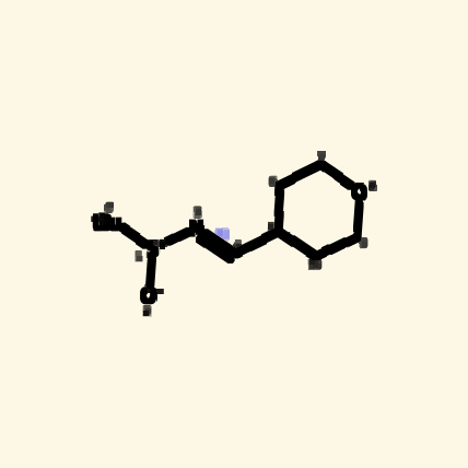 CC(C)(C)[S+]([O-])/N=C/C1CCOCC1